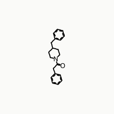 O=C(Cc1ccccc1)N1CCC(Cc2ccccc2)CC1